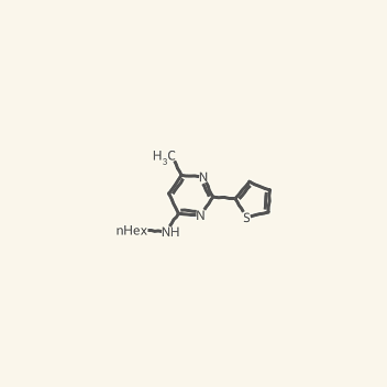 CCCCCCNc1cc(C)nc(-c2cccs2)n1